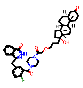 C[C@]12CCC(=O)C[C@@H]1CC[C@@H]1[C@@H]2CC[C@@]2(C)[C@H]1CC[C@@]2(O)CCCOCC(=O)N1CCN(C(=O)c2cc(Cc3n[nH]c(=O)c4ccccc34)ccc2F)CC1